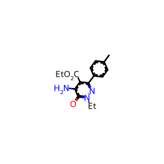 CCOC(=O)c1c(-c2ccc(C)cc2)nn(CC)c(=O)c1N